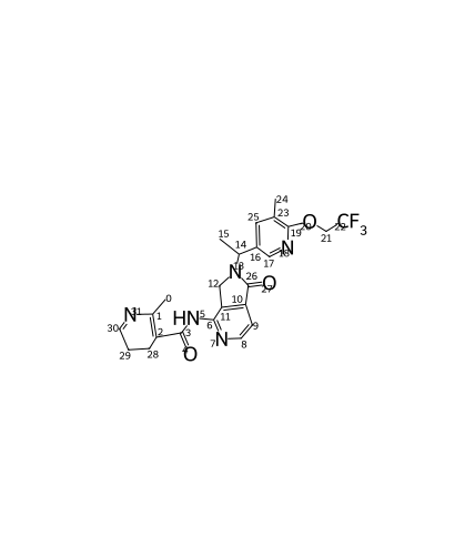 CC1=C(C(=O)Nc2nccc3c2CN(C(C)c2cnc(OCC(F)(F)F)c(C)c2)C3=O)CCC=N1